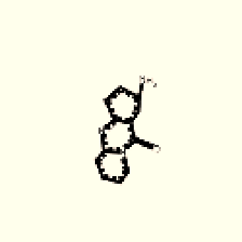 Nc1ccc2nc3ccccn3c(=O)c2c1